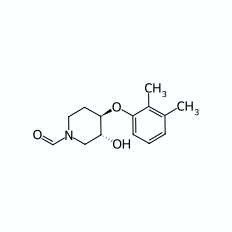 Cc1cccc(O[C@@H]2CCN(C=O)C[C@H]2O)c1C